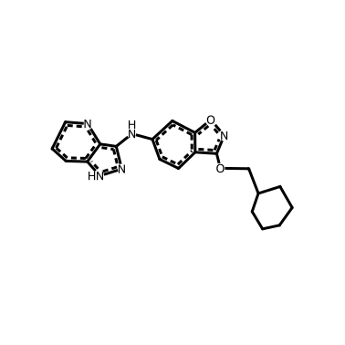 c1cnc2c(Nc3ccc4c(OCC5CCCCC5)noc4c3)n[nH]c2c1